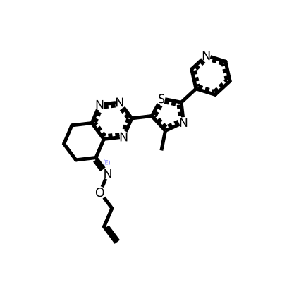 C=CCO/N=C1\CCCc2nnc(-c3sc(-c4cccnc4)nc3C)nc21